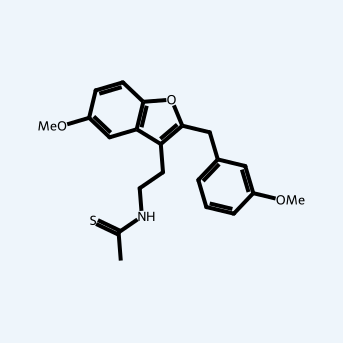 COc1cccc(Cc2oc3ccc(OC)cc3c2CCNC(C)=S)c1